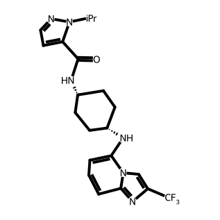 CC(C)n1nccc1C(=O)N[C@H]1CC[C@@H](Nc2cccc3nc(C(F)(F)F)cn23)CC1